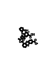 Bc1ccccc1Sc1ccc(C(=O)O)cc1S(=O)(=O)C1(C)OB(c2cccc3c2Sc2ccc(C(=O)OC)cc2S3)OC1=C